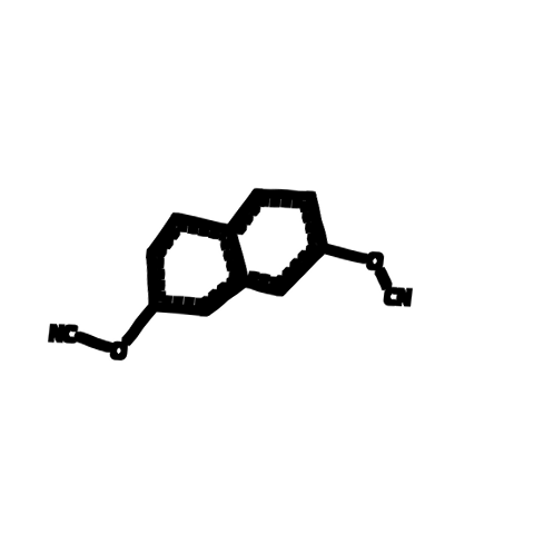 N#COc1ccc2ccc(OC#N)cc2c1